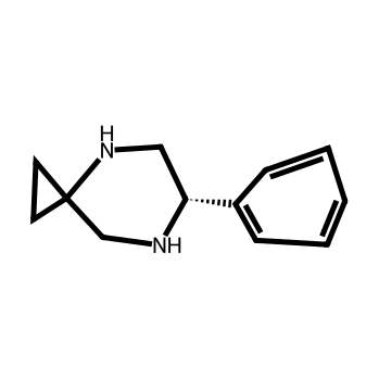 c1ccc([C@H]2CNC3(CC3)CN2)cc1